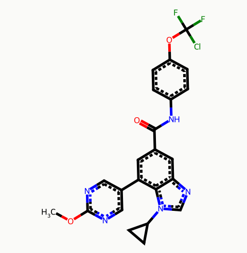 COc1ncc(-c2cc(C(=O)Nc3ccc(OC(F)(F)Cl)cc3)cc3ncn(C4CC4)c23)cn1